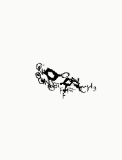 Cn1nc(Oc2ccc([N+](=O)[O-])c([N+](=O)[O-])c2)c(Br)c1C(F)(F)F